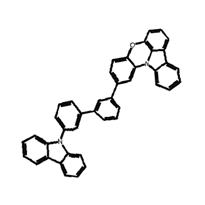 c1cc(-c2cccc(-n3c4ccccc4c4ccccc43)c2)cc(-c2ccc3c(c2)-n2c4ccccc4c4cccc(c42)O3)c1